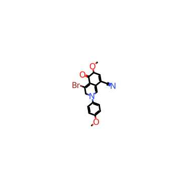 COc1ccc(N2C=C3C(C#N)=CC(OC)C(=O)C3=C(Br)C2)cc1